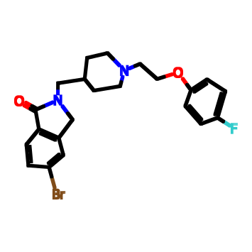 O=C1c2ccc(Br)cc2CN1CC1CCN(CCOc2ccc(F)cc2)CC1